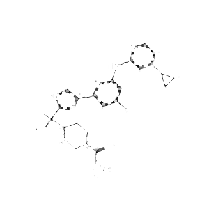 CCC(O)(c1ncc(-c2cc(C)cc(Nc3cc(C4CC4)ccn3)n2)s1)C1CCC(C(=O)OC)CC1